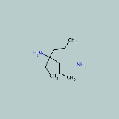 CCCC(N)(CC)CCC.N